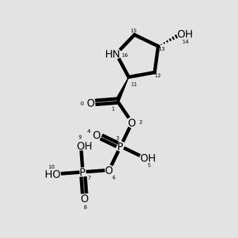 O=C(OP(=O)(O)OP(=O)(O)O)[C@@H]1C[C@@H](O)CN1